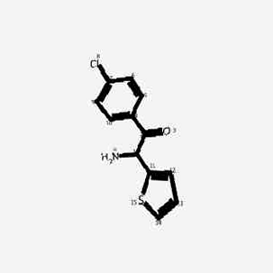 NC(C(=O)c1ccc(Cl)cc1)c1cc[c]s1